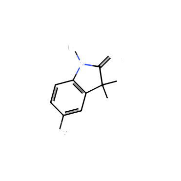 C=C1N(CC)c2ccc(OC)cc2C1(C)C